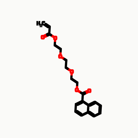 C=CC(=O)OCCOCCOCCOC(=O)c1cccc2ccccc12